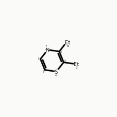 CCC1=C(CC)SC=C[N]1